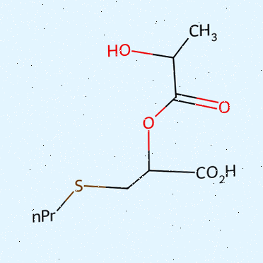 CCCSCC(OC(=O)C(C)O)C(=O)O